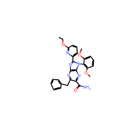 CCOc1cccc(-c2nc3nc(Cc4ccccc4)c(C(N)=O)nc3n2-c2c(OC)cccc2OC)n1